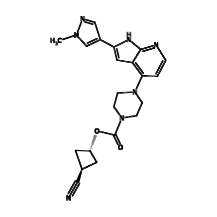 Cn1cc(-c2cc3c(N4CCN(C(=O)O[C@H]5C[C@H](C#N)C5)CC4)ccnc3[nH]2)cn1